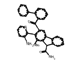 CCCCc1c(-c2ncccc2N)c(C(=O)c2ccccc2-c2ccccc2)cc2c1C(C(N)=O)c1ccccc1-2